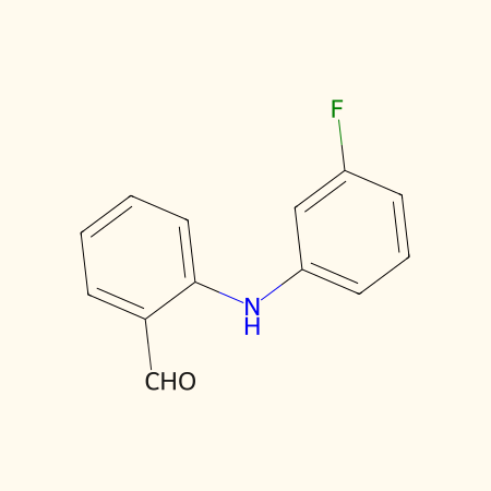 O=Cc1ccccc1Nc1cccc(F)c1